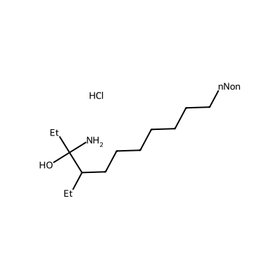 CCCCCCCCCCCCCCCCC(CC)C(N)(O)CC.Cl